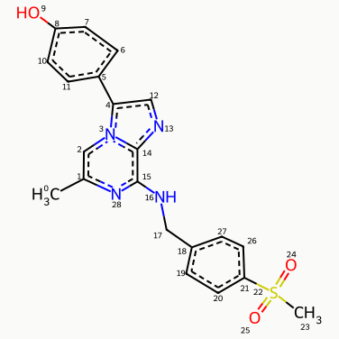 Cc1cn2c(-c3ccc(O)cc3)cnc2c(NCc2ccc(S(C)(=O)=O)cc2)n1